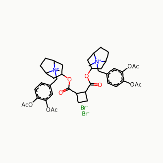 CC(=O)Oc1ccc(C[N+]2(C)C3CCC2CC(OC(=O)C2CCC2C(=O)OC2CC4CCC(C2)[N+]4(C)Cc2ccc(OC(C)=O)c(OC(C)=O)c2)C3)cc1OC(C)=O.[Br-].[Br-]